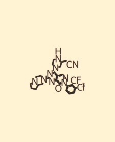 N#CCC1CN(c2nc(N3CCN4CCCC4C3)nc3c(=O)n(-c4cccc(Cl)c4C(F)(F)F)ncc23)CCN1